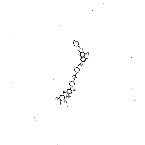 O=C1CCC(Nc2cc(F)c(N3CCC(N4CC(N5CCC(COc6cc(F)c7c(=O)[nH]c(CSC8CCOCC8)nc7c6)CC5)C4)CC3)cc2F)C(=O)N1